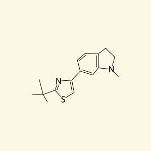 CN1CCc2ccc(-c3csc(C(C)(C)C)n3)cc21